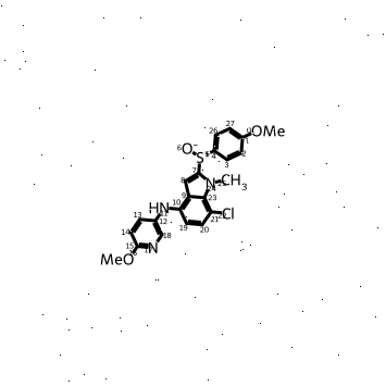 COc1ccc([S+]([O-])c2cc3c(Nc4ccc(OC)nc4)ccc(Cl)c3n2C)cc1